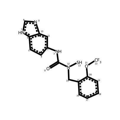 O=C(Nc1ccc2[nH]cnc2c1)N(S)Cc1ccccc1OC(F)(F)F